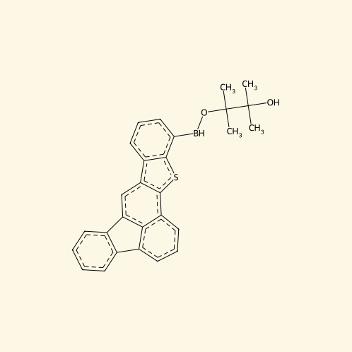 CC(C)(O)C(C)(C)OBc1cccc2c1sc1c3cccc4c3c(cc21)-c1ccccc1-4